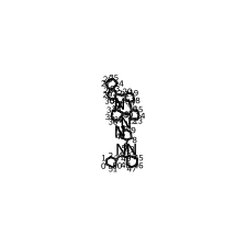 c1ccc(-c2nc(-c3ccc(-n4c5cccc6c7cccc8c9c%10ccccc%10ccc9n(c9cccc4c9c65)c78)nc3)nc3ccccc23)cc1